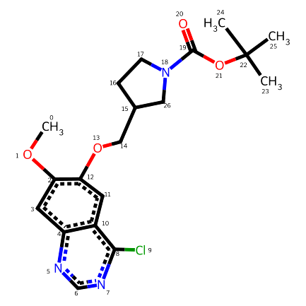 COc1cc2ncnc(Cl)c2cc1OCC1CCN(C(=O)OC(C)(C)C)C1